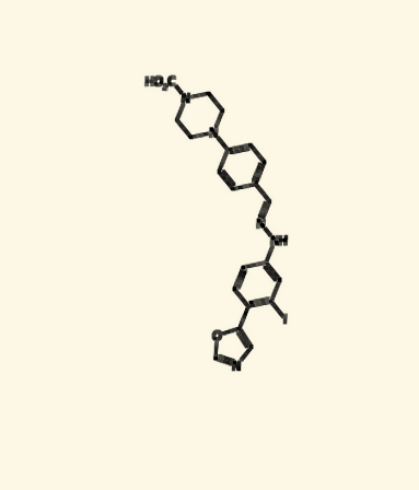 O=C(O)N1CCN(c2ccc(C=NNc3ccc(-c4cnco4)c(I)c3)cc2)CC1